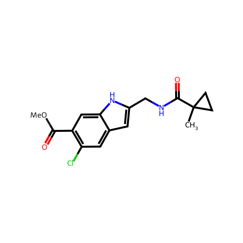 COC(=O)c1cc2[nH]c(CNC(=O)C3(C)CC3)cc2cc1Cl